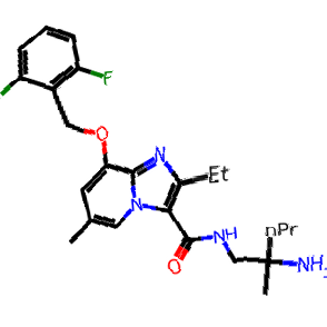 CCCC(C)(N)CNC(=O)c1c(CC)nc2c(OCc3c(F)cccc3F)cc(C)cn12